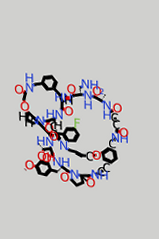 COc1ccc(C[C@@H]2NC(=O)[C@@H]([C@@H](C)O)NC(=O)[C@@H]3[C@@H]4CCN3C(=O)[C@@H]3Cc5cn(c6ccc(F)cc56)C/C=C/COc5cc(ccc5CNC(=O)CCC(=O)N[C@@H](C)C(=O)N[C@@H](CN)C(=O)N[C@@H](Cc5cccc(c5)CNC(=O)CO4)C(=O)N3)CCNC(=O)[C@]3(C)CCCN3C2=O)cc1